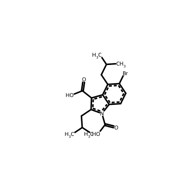 CC(C)Cc1c(Br)ccc2c1c(C(=O)O)c(CC(C)C)n2C(=O)O